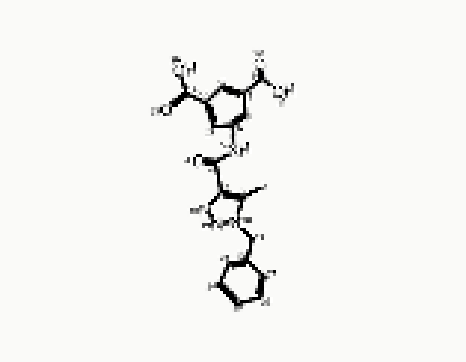 Cc1c(C(=O)Nc2cc(C(=O)O)cc(C(=O)O)c2)nnn1Cc1ccccc1